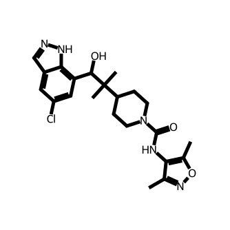 Cc1noc(C)c1NC(=O)N1CCC(C(C)(C)C(O)c2cc(Cl)cc3cn[nH]c23)CC1